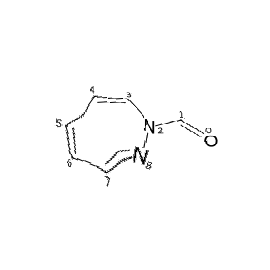 O=CN1C=CC=CC=N1